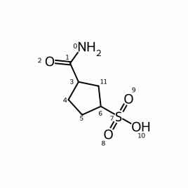 NC(=O)C1CCC(S(=O)(=O)O)C1